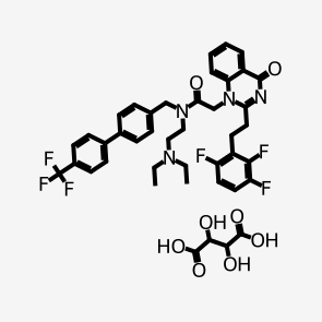 CCN(CC)CCN(Cc1ccc(-c2ccc(C(F)(F)F)cc2)cc1)C(=O)Cn1c(CCc2c(F)ccc(F)c2F)nc(=O)c2ccccc21.O=C(O)C(O)C(O)C(=O)O